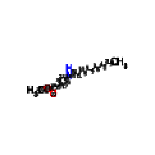 CCCCCCCCCCCCCCNc1ccc(CCC(=O)OCC)cc1